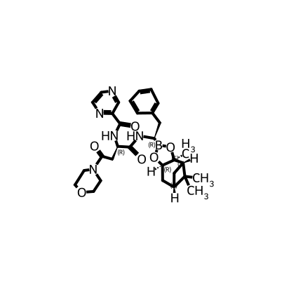 CC1(C)[C@@H]2C[C@H]3OB([C@H](Cc4ccccc4)NC(=O)[C@@H](CC(=O)N4CCOCC4)NC(=O)c4cnccn4)O[C@@]3(C)[C@H]1C2